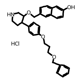 Cl.Oc1ccc2cc(COC3CNCCC3c3ccc(OCCCOCc4ccccc4)cc3)ccc2c1